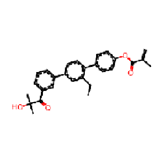 C=C(C)C(=O)Oc1ccc(-c2ccc(-c3cccc(C(=O)C(C)(C)O)c3)cc2CC)cc1